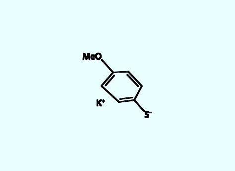 COc1ccc([S-])cc1.[K+]